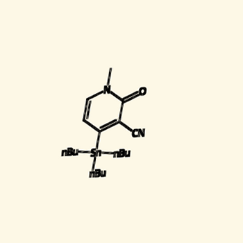 CCC[CH2][Sn]([CH2]CCC)([CH2]CCC)[c]1ccn(C)c(=O)c1C#N